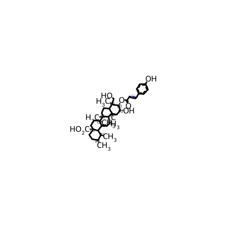 C[C@@H]1CC[C@]2(C(=O)O)CC[C@]3(C)C(=CCC4[C@@]5(C)C[C@@H](O)[C@H](OC(=O)/C=C/c6ccc(O)cc6)[C@@](C)(CO)C5CC[C@]43C)C2[C@H]1C